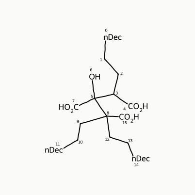 CCCCCCCCCCCCC(C(=O)O)C(O)(C(=O)O)C(CCCCCCCCCCCC)(CCCCCCCCCCCC)C(=O)O